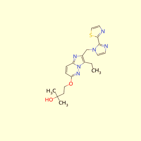 CCc1c(Cn2ccnc2-c2nccs2)nc2ccc(OCCC(C)(C)O)nn12